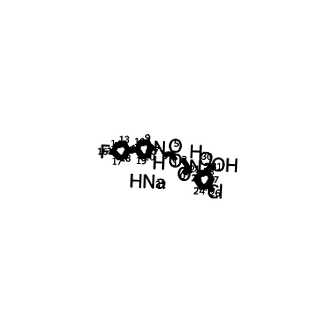 O=C(COC(=O)CNc1ccc(-c2ccc(F)cc2)cc1)Nc1ccc(Cl)cc1C(=O)O.[NaH]